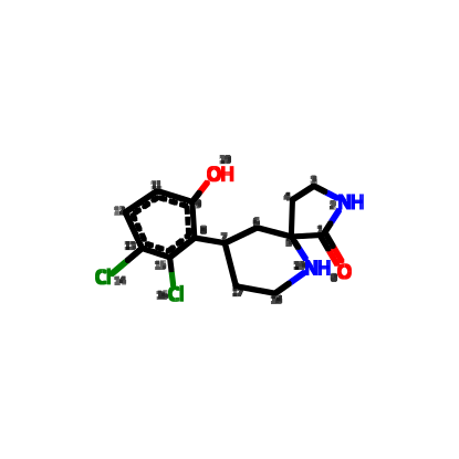 O=C1NCCC12CC(c1c(O)ccc(Cl)c1Cl)CCN2